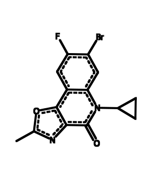 Cc1nc2c(=O)n(C3CC3)c3cc(Br)c(F)cc3c2o1